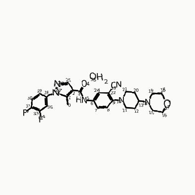 Cc1c(C(=O)Nc2ccc(N3CCC(N4CCOCC4)CC3)c(C#N)c2)cnn1-c1ccc(F)c(F)c1.O